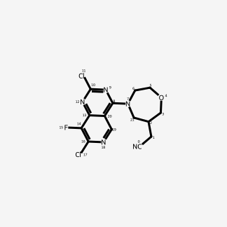 N#CCC1COCCN(c2nc(Cl)nc3c(F)c(Cl)ncc23)C1